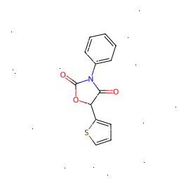 O=C1OC(c2cccs2)C(=O)N1c1ccccc1